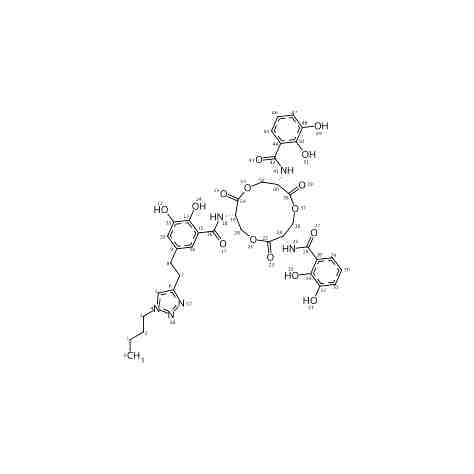 CCCCn1cc(CCc2cc(O)c(O)c(C(=O)N[C@H]3COC(=O)[C@@H](NC(=O)c4cccc(O)c4O)COC(=O)[C@@H](NC(=O)c4cccc(O)c4O)COC3=O)c2)nn1